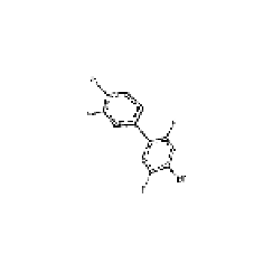 Fc1ccc(-c2cc(F)c(Br)cc2F)cc1F